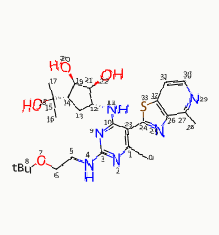 Cc1nc(NCCOC(C)(C)C)nc(N[C@@H]2C[C@H](C(C)(C)O)[C@@H](O)[C@H]2O)c1-c1nc2c(C)nccc2s1